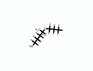 CC(C)(OC(F)(F)C(F)(F)C(F)(F)F)C(F)(F)C(F)(F)C(O)(F)F